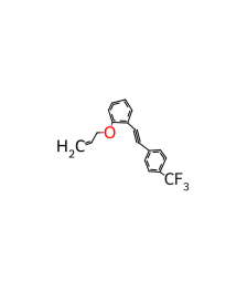 C=CCOc1ccccc1C#Cc1ccc(C(F)(F)F)cc1